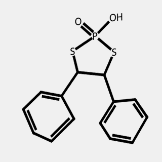 O=P1(O)SC(c2ccccc2)C(c2ccccc2)S1